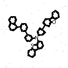 c1cc(-c2cccc(N(c3ccc(-c4ccc5c(c4)oc4ccccc45)cc3)c3cccc4c3sc3ccccc34)c2)cc(-c2cccc3ccccc23)c1